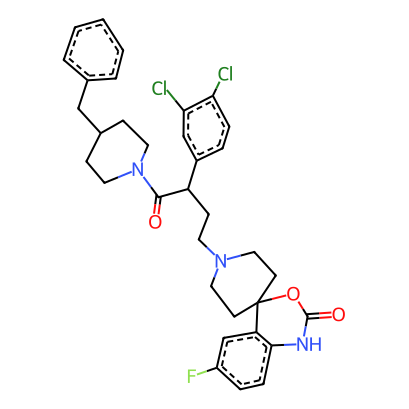 O=C1Nc2ccc(F)cc2C2(CCN(CCC(C(=O)N3CCC(Cc4ccccc4)CC3)c3ccc(Cl)c(Cl)c3)CC2)O1